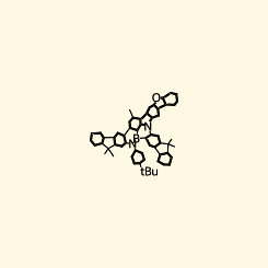 Cc1cc2c3c4c1c1cc5oc6ccccc6c5cc1n4-c1cc4c(cc1B3N(c1ccc(C(C)(C)C)cc1)c1cc3c(cc1-2)-c1ccccc1C3(C)C)-c1ccccc1C4(C)C